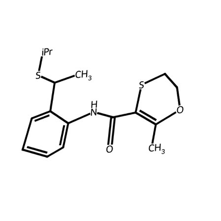 CC1=C(C(=O)Nc2ccccc2C(C)SC(C)C)SCCO1